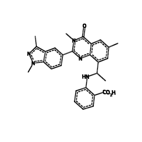 Cc1cc(C(C)Nc2ccccc2C(=O)O)c2nc(-c3ccc4c(c3)c(C)nn4C)n(C)c(=O)c2c1